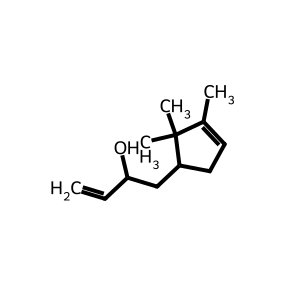 C=CC(O)CC1CC=C(C)C1(C)C